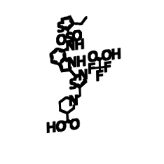 CCc1ccsc1S(=O)(=O)Nc1cccc2cc(-c3ncc(CN4CCCC(C(=O)O)C4)s3)[nH]c12.O=C(O)C(F)(F)F